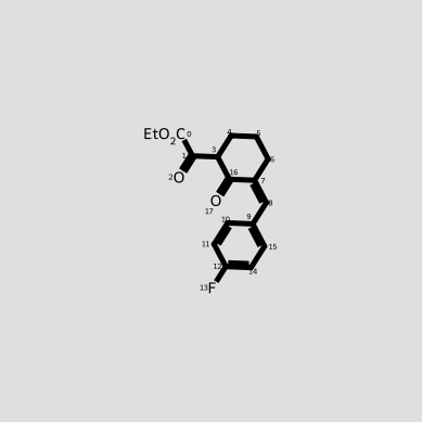 CCOC(=O)C(=O)C1CCCC(=Cc2ccc(F)cc2)C1=O